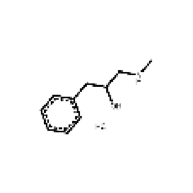 CNCC(O)Cc1ccccc1.Cl